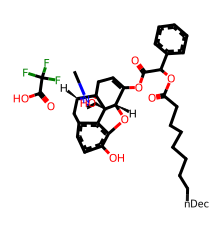 CCCCCCCCCCCCCCCCCC(=O)OC(C(=O)OC1=CC[C@@]2(O)[C@H]3Cc4ccc(O)c5c4[C@@]2(CCN3C)[C@H]1O5)c1ccccc1.O=C(O)C(F)(F)F